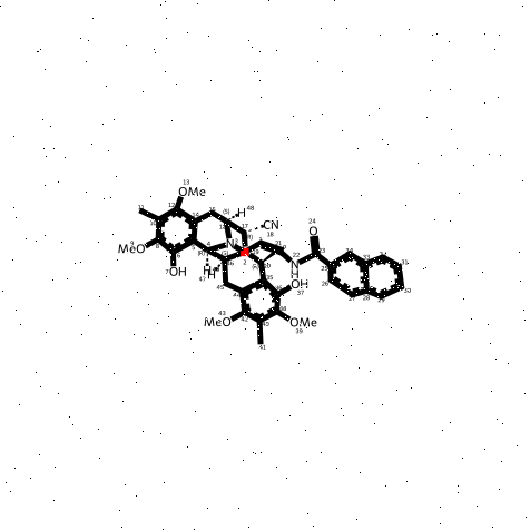 C=CCN1[C@@H]2c3c(O)c(OC)c(C)c(OC)c3C[C@H]1[C@H](C#N)N1[C@@H](CNC(=O)c3ccc4ccccc4c3)c3c(O)c(OC)c(C)c(OC)c3C[C@@H]21